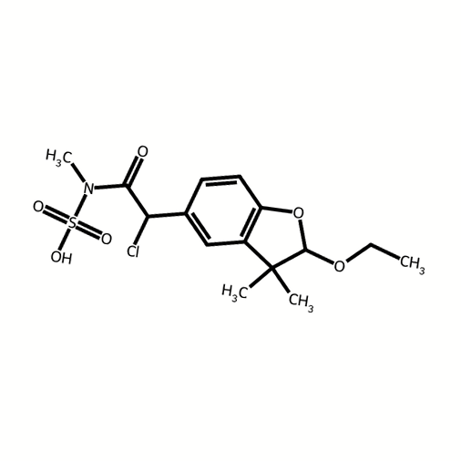 CCOC1Oc2ccc(C(Cl)C(=O)N(C)S(=O)(=O)O)cc2C1(C)C